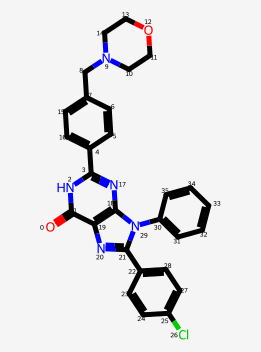 O=c1[nH]c(-c2ccc(CN3CCOCC3)cc2)nc2c1nc(-c1ccc(Cl)cc1)n2-c1ccccc1